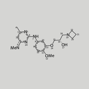 CNc1cc(C)nc(Nc2ccc(OC)c(OC[C@@H](O)CN3CCC3)c2)n1